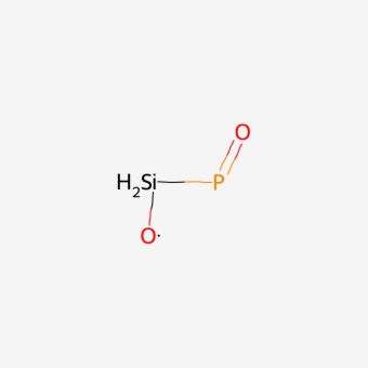 [O][SiH2]P=O